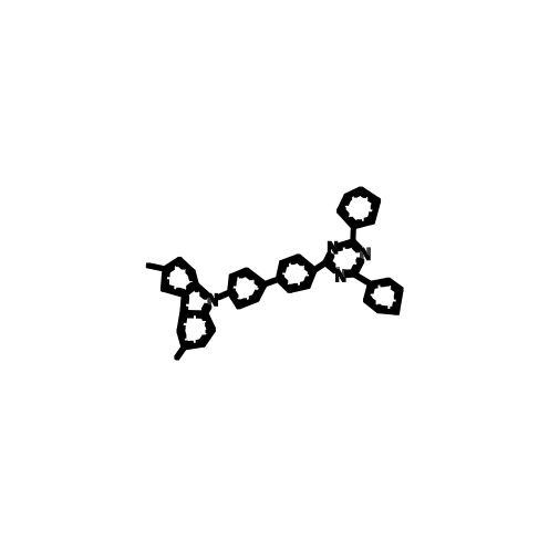 Cc1ccc2c(c1)c1cc(C)ccc1n2-c1ccc(-c2ccc(-c3nc(-c4ccccc4)nc(-c4ccccc4)n3)cc2)cc1